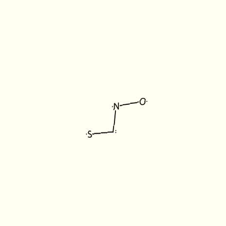 [O][N][C][S]